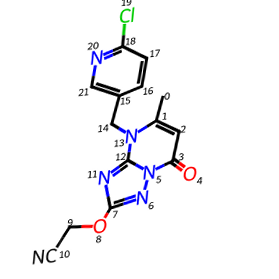 Cc1cc(=O)n2nc(OCC#N)nc2n1Cc1ccc(Cl)nc1